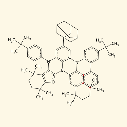 CC(C)(C)c1ccc(N2c3cc(C45CC6CC(CC(C6)C4)C5)cc4c3B(c3cc5c(cc3N4c3ccc(C(C)(C)C)cc3-c3ccccc3)C(C)(C)CCC5(C)C)c3oc4c(c32)C(C)(C)CCC4(C)C)cc1